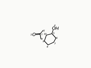 CC(C)=O.OC1CCCCC1